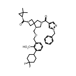 CC1(C)C[C@@H]1C(=O)N1CC2(CN(C(=O)c3cnn(Cc4ccccc4)c3)C[C@H]2COCc2cccc(C3CCC(F)(F)CC3)c2C(=O)O)C1